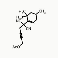 BC1(C)CC(C)CC=C1C(C#N)(C#N)CC#CCOC(C)=O